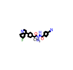 C[C@@H](C(=O)NNC(=O)c1ccc(C#N)cc1)C1CCC(c2ccnc3ccc(F)cc23)CC1